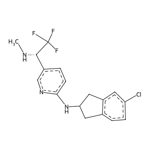 CN[C@@H](c1ccc(NC2Cc3ccc(Cl)cc3C2)nc1)C(F)(F)F